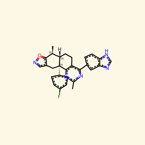 Cc1nc(-c2ccc3[nH]cnc3c2)c2c(n1)[C@@]1(c3ccc(F)cc3)Cc3cnoc3[C@@H](C)[C@@H]1CC2